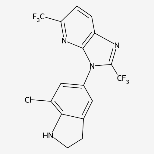 FC(F)(F)c1ccc2nc(C(F)(F)F)n(-c3cc(Cl)c4c(c3)CCN4)c2n1